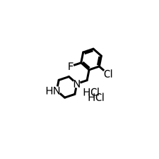 Cl.Cl.Fc1cccc(Cl)c1CN1CCNCC1